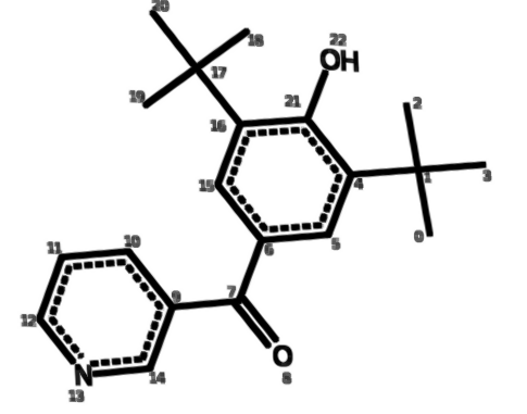 CC(C)(C)c1cc(C(=O)c2cccnc2)cc(C(C)(C)C)c1O